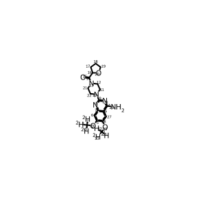 [2H]C([2H])([2H])Oc1cc2nc(N3CCN(C(=O)C4CCCO4)CC3)nc(N)c2cc1OC([2H])([2H])[2H]